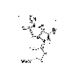 CS[C@H]1CC[C@@H](n2cc(Br)c3cc(C#N)c(C)cc32)C1